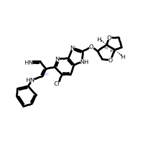 N=C/C(=C\Nc1ccccc1)c1nc2nc(OC3CO[C@@H]4CCO[C@H]34)[nH]c2cc1Cl